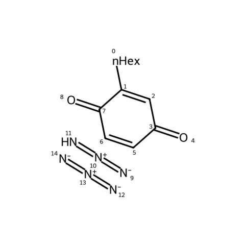 CCCCCCC1=CC(=O)C=CC1=O.[N-]=[N+]=N.[N-]=[N+]=[N-]